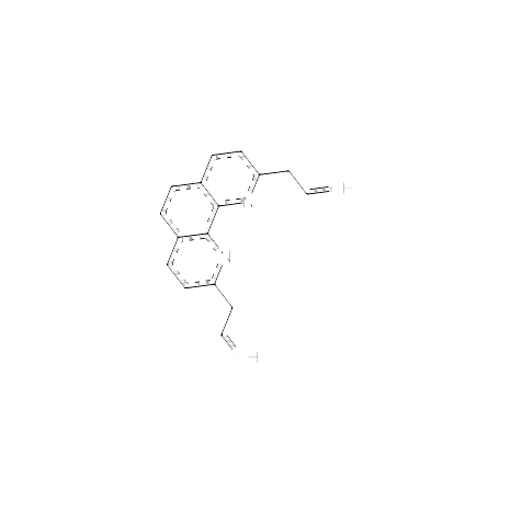 C=CCc1ccc2ccc3ccc(CC=C)nc3c2n1